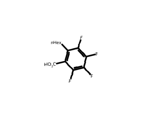 CCCCCCc1c(F)c(F)c(F)c(F)c1C(=O)O